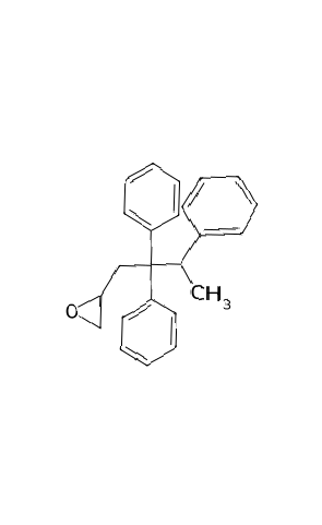 CC(c1ccccc1)C(CC1CO1)(c1ccccc1)c1ccccc1